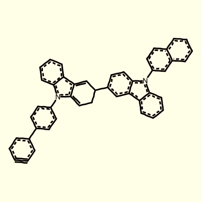 c1ccc(-c2ccc(-n3c4c(c5ccccc53)=CC(c3ccc5c(c3)c3ccccc3n5-c3ccc5ccccc5c3)CC=4)cc2)cc#1